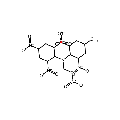 CC1CC([N+](=O)[O-])C(N(CO[N+](=O)[O-])C2C([N+](=O)[O-])CC([N+](=O)[O-])CC2[N+](=O)[O-])C([N+](=O)[O-])C1